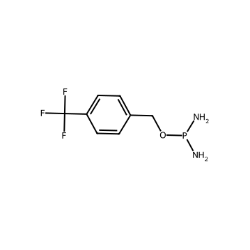 NP(N)OCc1ccc(C(F)(F)F)cc1